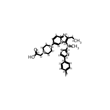 CCc1nc2ccc(N3CCN(CC(=O)O)CC3)cn2c1N(C)c1nc(-c2ccc(F)cc2)cs1